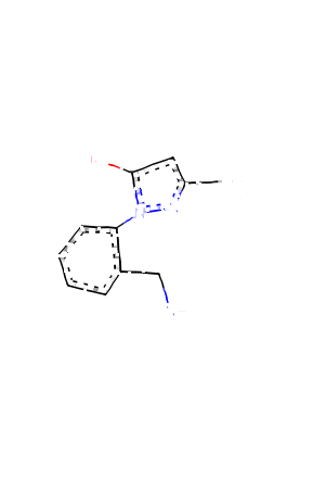 CCOC(=O)c1cc(O)n(-c2ccccc2CN)n1